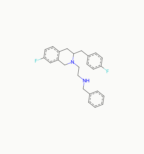 Fc1ccc(CC2Cc3ccc(F)cc3CN2CCNCc2ccccc2)cc1